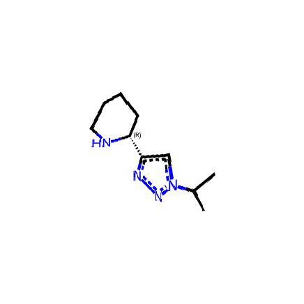 CC(C)n1cc([C@H]2CCCCN2)nn1